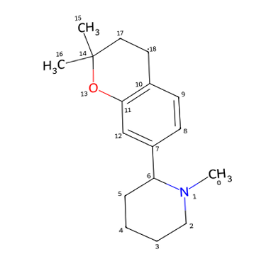 CN1CCCCC1c1ccc2c(c1)OC(C)(C)C[CH]2